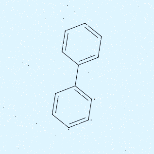 [c]1[c]ccc(-c2ccccc2)[c]1